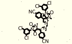 CN(C[C@H](C1C=CC(C#N)=CC1)[C@H]1C(=O)N(c2cc(Cl)cc(Cl)c2)C(=O)N1C)CN1CC(c2ccc(C#N)cc2)[C@]2(C1)C(=O)N(c1cc(Cl)cc(Cl)c1)C(=O)N2C